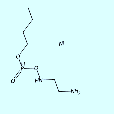 CCCCO[PH](=O)ONCCN.[Ni]